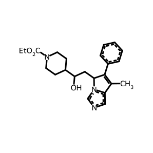 CCOC(=O)N1CCC(C(O)CC2C(c3ccccc3)=C(C)c3cncn32)CC1